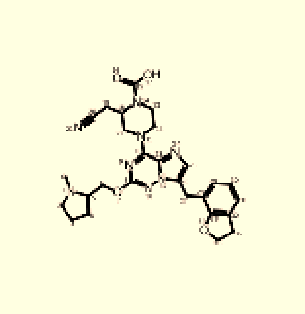 CN1CCCC1COc1nc(N2CCN(C(=O)O)C(CC#N)C2)c2ncc(Cc3cccc4c3OCC4)n2n1